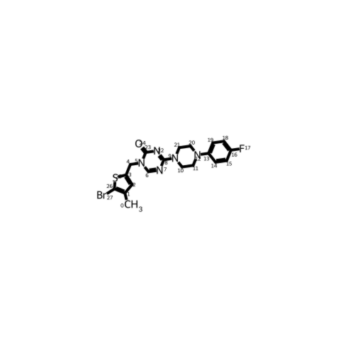 Cc1cc(Cn2cnc(N3CCN(c4ccc(F)cc4)CC3)nc2=O)sc1Br